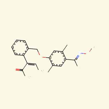 CCCON=C(CC)c1cc(C)c(OCc2ccccc2C(=COC)C(=O)OC)cc1C